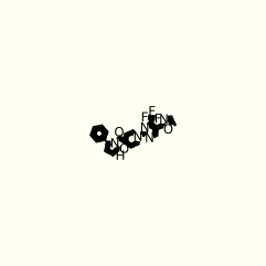 O=C1N2[C@@H](CC[C@H]2c2ccccc2)OC12CCN(c1ncc(-c3ncco3)c(C(F)(F)F)n1)CC2